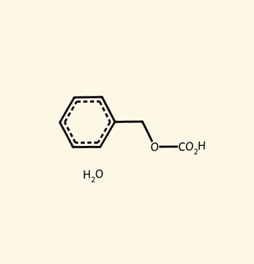 O.O=C(O)OCc1ccccc1